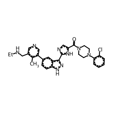 CCNCc1cncc(-c2ccc3[nH]nc(-c4ncc(C(=O)N5CCN(c6ccccc6Cl)CC5)[nH]4)c3c2)c1C